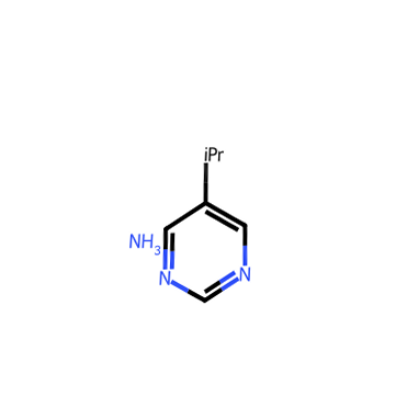 CC(C)c1cncnc1.N